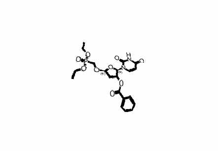 CCOP(=O)(CO[C@@H]1CC(OC(=O)c2ccccc2)[C@H](n2ccc(=O)[nH]c2=O)O1)OCC